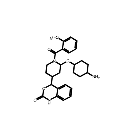 COc1ccccc1C(=O)N1CCC(C2OC(=O)Nc3ccccc32)CC1OC1CCC(N)CC1